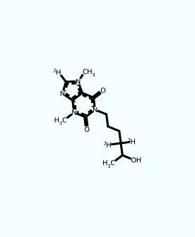 [2H]c1nc2c(c(=O)n(CCCC([2H])([2H])C(C)O)c(=O)n2C)n1C